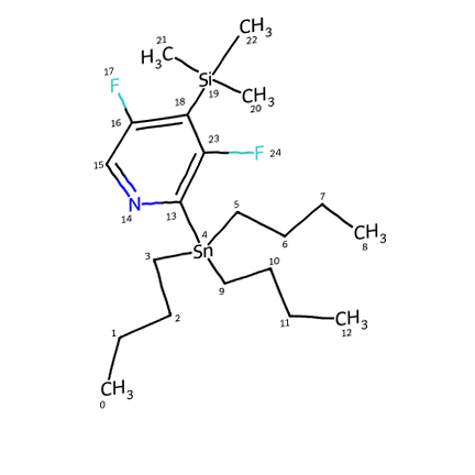 CCC[CH2][Sn]([CH2]CCC)([CH2]CCC)[c]1ncc(F)c([Si](C)(C)C)c1F